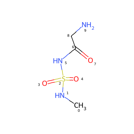 CNS(=O)(=O)NC(=O)CN